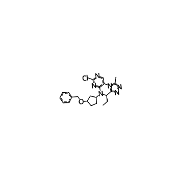 CC[C@@H]1c2nnc(C)n2-c2cnc(Cl)nc2N1C1CCC(OCc2ccccc2)C1